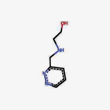 OCCNCc1cccnn1